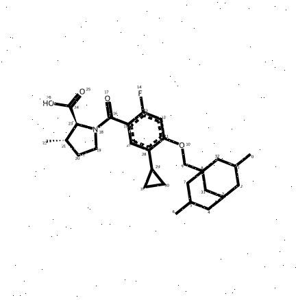 CC1CC2CC(C)CC(COc3cc(F)c(C(=O)N4CC[C@H](C)[C@H]4C(=O)O)cc3C3CC3)(C1)C2